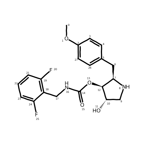 COc1ccc(C[C@H]2NC[C@H](O)[C@H]2OC(=O)NCc2c(F)cccc2F)cc1